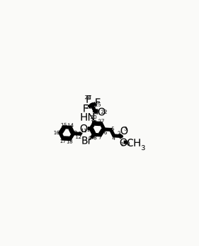 COC(=O)CCc1cc(Br)c(OCc2ccccc2)c(NC(=O)C(F)(F)F)c1